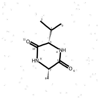 CC(C)[C@@H]1NC(=O)[C@H](C)NC1=O